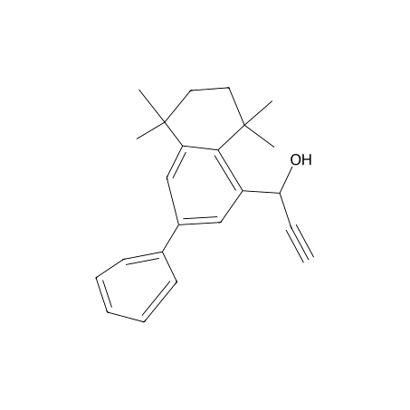 C#CC(O)c1cc(-c2ccccc2)cc2c1C(C)(C)CCC2(C)C